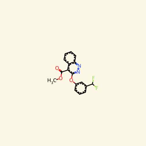 COC(=O)c1c(Oc2cccc(C(F)F)c2)nnc2ccccc12